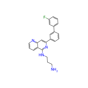 NCCCNc1nc(-c2cccc(-c3cccc(F)c3)c2)cc2ncccc12